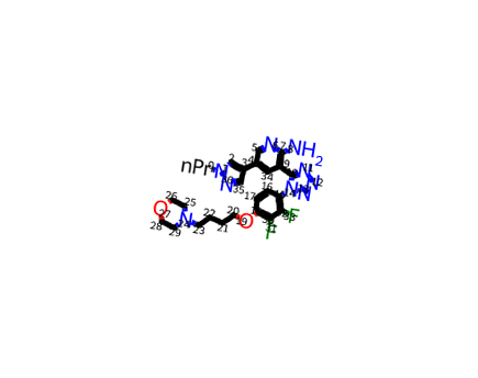 CCCn1cc(-c2cnc(N)c(-c3nnnn3-c3ccc(OCCCCN4CCOCC4)c(F)c3F)c2)cn1